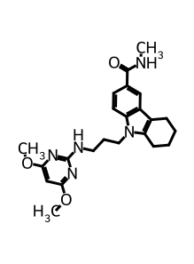 CNC(=O)c1ccc2c(c1)c1c(n2CCCNc2nc(OC)cc(OC)n2)CCCC1